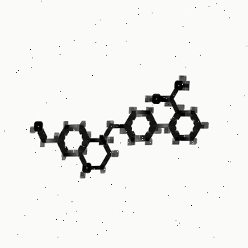 O=Cc1ccc2c(c1)OCCN2Cc1ccc(-c2ccccc2C(=O)O)cc1